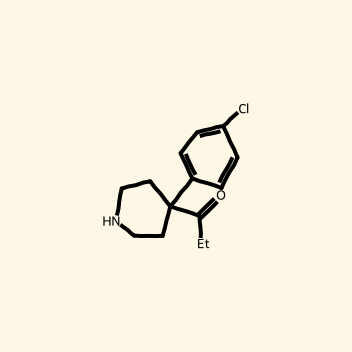 CCC(=O)C1(c2ccc(Cl)cc2)CCNCC1